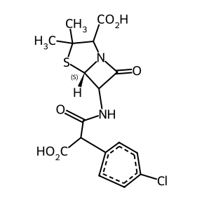 CC1(C)S[C@H]2C(NC(=O)C(C(=O)O)c3ccc(Cl)cc3)C(=O)N2C1C(=O)O